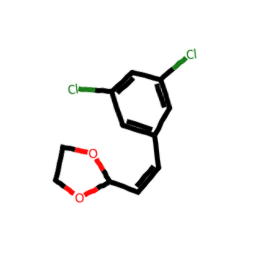 Clc1cc(Cl)cc(/C=C\C2OCCO2)c1